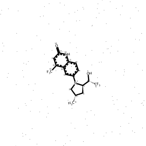 C[C@H]1C[C@H]([C@H](O)C(F)(F)F)N(c2ccc3[nH]c(=O)cc(C(F)(F)F)c3c2)C1